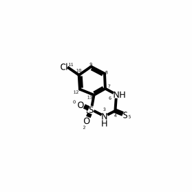 O=S1(=O)NC(=S)Nc2ccc(Cl)cc21